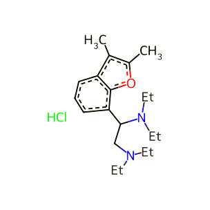 CCN(CC)CC(c1cccc2c(C)c(C)oc12)N(CC)CC.Cl